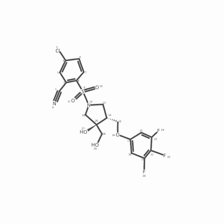 N#Cc1cc(Cl)ccc1S(=O)(=O)N1C[C@H](COc2cc(F)c(F)c(F)c2)[C@](O)(CO)C1